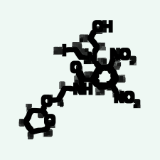 O=C(NCCOC1CCCCO1)c1cc([N+](=O)[O-])cc([N+](=O)[O-])c1N(CCO)CCI